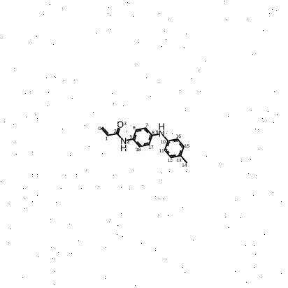 C=CC(=O)Nc1ccc(Nc2ccc(C)cc2)cc1